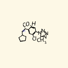 Cc1nnnn1-c1ccc(/C(=C\C2CCCC2)C(=O)O)cc1Cl